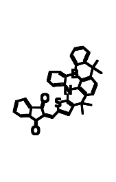 CC1(C)c2ccccc2B2c3ccccc3N3c4sc(C=C5C(=O)c6ccccc6C5=O)cc4C(C)(C)c4ccc1c2c43